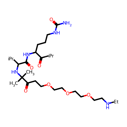 CCNCCOCCOCCOCCC(=O)C(C)(C)NC(C(=O)NC(CCCNC(N)=O)C(=O)C(C)C)C(C)C